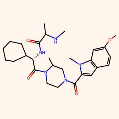 CNC(C)C(=O)N[C@H](C(=O)N1CCN(C(=O)c2cc3ccc(OC)cc3n2C)CC1C)C1CCCCC1